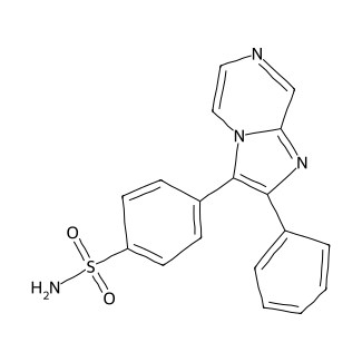 NS(=O)(=O)c1ccc(-c2c(-c3ccccc3)nc3cnccn23)cc1